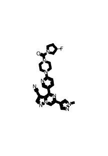 Cn1cc(-c2cn3ncc(C#N)c3c(-c3ccc(N4CCN(C(=O)N5CC[C@H](F)C5)CC4)nc3)n2)cn1